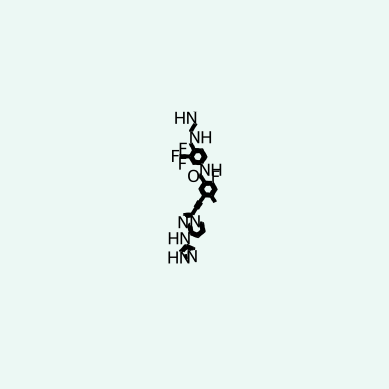 CNCCNCc1ccc(NC(=O)c2cc(C#Cc3cnc4c(Nc5cn[nH]c5)cccn34)c(C)cc2F)cc1C(F)(F)F